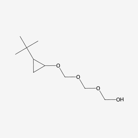 CC(C)(C)C1CC1OCOCOCO